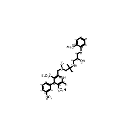 CCOC(=O)C1=C(CN(CC(C)(C)NCC(O)COc2ccccc2OC)C(C)=O)NC(C)=C(C(=O)O)C1c1cccc([N+](=O)[O-])c1